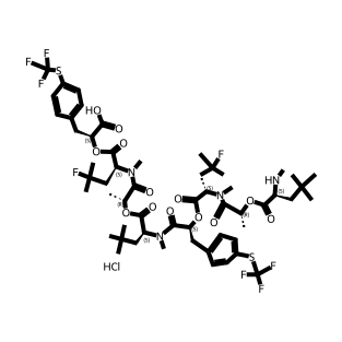 CN[C@@H](CC(C)(C)C)C(=O)O[C@H](C)C(=O)N(C)[C@@H](CC(C)(C)F)C(=O)O[C@@H](Cc1ccc(SC(F)(F)F)cc1)C(=O)N(C)[C@@H](CC(C)(C)C)C(=O)O[C@H](C)C(=O)N(C)[C@@H](CC(C)(C)F)C(=O)O[C@@H](Cc1ccc(SC(F)(F)F)cc1)C(=O)O.Cl